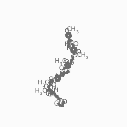 COc1ccc(C2=CN3C(=O)c4cc(OC)c(OCCCOc5cc6c(cc5OC)C(=O)N5C=C(c7ccc(NC(=O)[C@H](C)CC(=O)[C@@H](NC(=O)CCCCCN8C(=O)CCC8=O)C(C)C)cc7)CC5C=N6)cc4N=C[C@@H]3C2)cc1